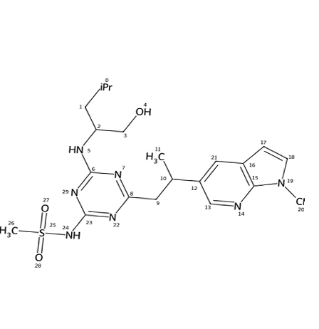 CC(C)CC(CO)Nc1nc(CC(C)c2cnc3c(ccn3C)c2)nc(NS(C)(=O)=O)n1